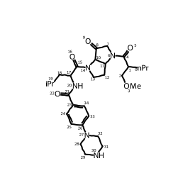 CCCC(COC)C(=O)N1CC(=O)C2C1CCN2C(=O)C(CC(C)C)NC(=O)c1ccc(N2CCNCC2)cc1